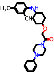 Cc1ccc(NC2CCC(OCC(=O)N3CCN(c4ccccc4)CC3)CC2)c(C#N)c1